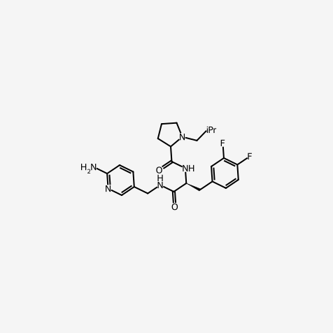 CC(C)CN1CCCC1C(=O)N[C@@H](Cc1ccc(F)c(F)c1)C(=O)NCc1ccc(N)nc1